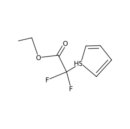 CCOC(=O)C(F)(F)[SH]1C=CC=C1